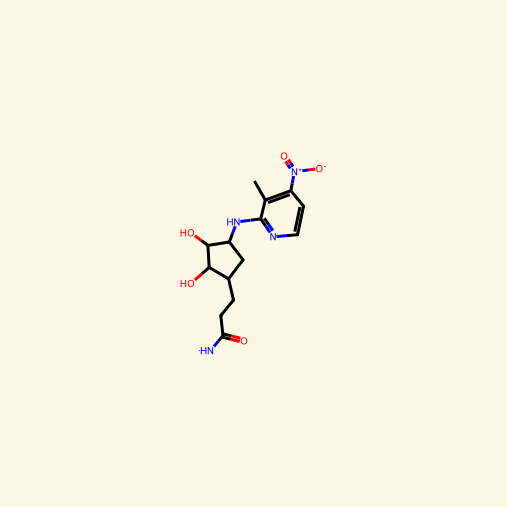 Cc1c([N+](=O)[O-])ccnc1NC1CC(CCC([NH])=O)C(O)C1O